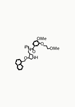 COCCCOc1cc(C(=O)N(CC2CNCC2OCc2cccc3ccccc23)C(C)C)ccc1OC